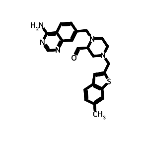 Cc1ccc2cc(CN3CCN(Cc4ccc5c(N)ncnc5c4)C(C=O)C3)sc2c1